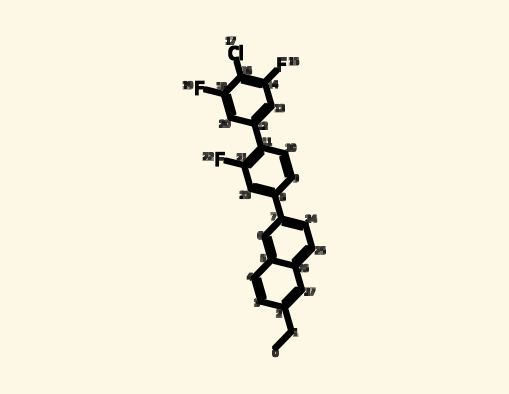 CCc1ccc2cc(-c3ccc(-c4cc(F)c(Cl)c(F)c4)c(F)c3)ccc2c1